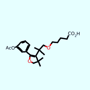 CC(=O)Oc1cccc(C2=C(C(C)(C)COCCCCC(=O)O)C(C)(C)CO2)c1